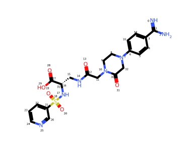 N=C(N)c1ccc(N2CCN(CC(=O)NC[C@H](NS(=O)(=O)c3cccnc3)C(=O)O)C(=O)C2)cc1